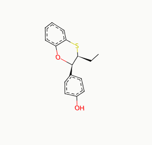 CC[C@@H]1Sc2ccccc2O[C@@H]1c1ccc(O)cc1